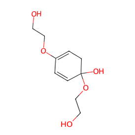 OCCOC1=CCC(O)(OCCO)C=C1